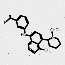 Cc1cccc2c(Nc3cccc(C(F)F)c3)ccc(C3CCCCN3C=O)c12